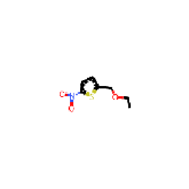 CCOCc1ccc([N+](=O)[O-])s1